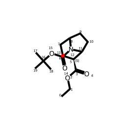 CCOC(=O)[C@H]1CCC2CCC1N2C(=O)OC(C)(C)C